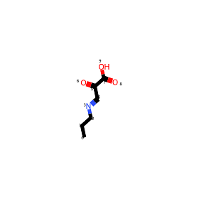 CCCN=CC(=O)C(=O)O